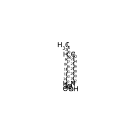 CCCCCCCCCCCCCCCCCC(=O)OO.CCCCCCCCCCCCN